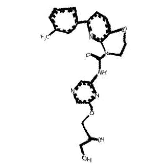 O=C(Nc1cncc(OCC(O)CO)n1)N1CCOc2ccc(-c3cccc(C(F)(F)F)c3)nc21